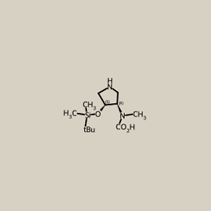 CN(C(=O)O)[C@@H]1CNC[C@@H]1O[Si](C)(C)C(C)(C)C